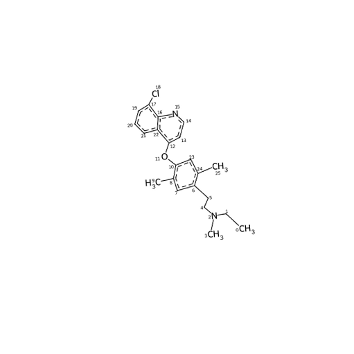 CCN(C)CCc1cc(C)c(Oc2ccnc3c(Cl)cccc23)cc1C